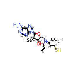 C=CCN(C[C@H]1O[C@@H](n2cnc3c(N)ncnc32)[C@H]([SeH])[C@@H]1O)[C@@H](CCS)C(=O)O